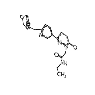 CCNC(=O)Cn1nc(-c2ccc(N3CC4COCC3CO4)nc2)ccc1=O